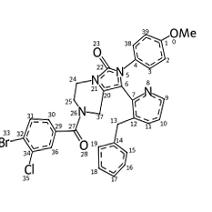 COc1ccc(-n2c(-c3ncccc3Cc3ccccc3)c3n(c2=O)CCN(C(=O)c2ccc(Br)c(Cl)c2)C3)cc1